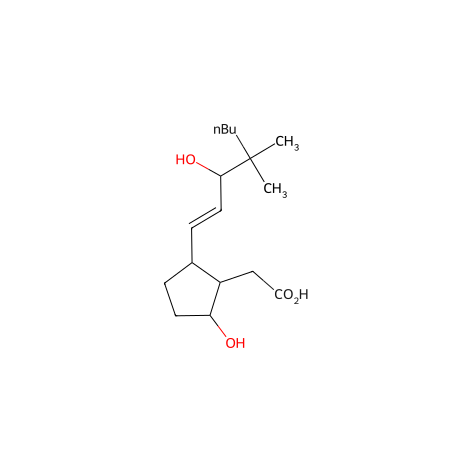 CCCCC(C)(C)C(O)/C=C/C1CCC(O)C1CC(=O)O